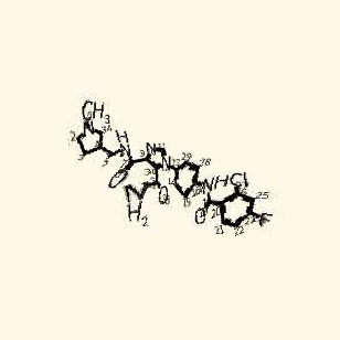 CN1CCC(CNC(=O)c2ncn(-c3ccc(NC(=O)c4ccc(F)cc4Cl)cc3)c2C(N)=O)C1